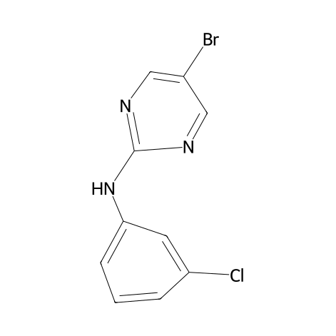 Clc1cccc(Nc2ncc(Br)cn2)c1